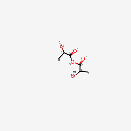 CC(Br)C(=O)OC(=O)C(C)Br